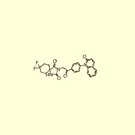 O=C(CN1C(=O)NC2(CCC(F)(F)CC2)C1=O)c1ccc(-n2c(=O)ccc3ccccc32)cc1